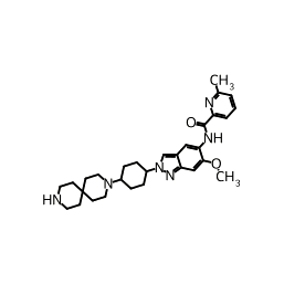 COc1cc2nn(C3CCC(N4CCC5(CCNCC5)CC4)CC3)cc2cc1NC(=O)c1cccc(C)n1